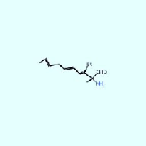 C/C=C/CC=C/C=C(\CC)C(C)(N)C=O